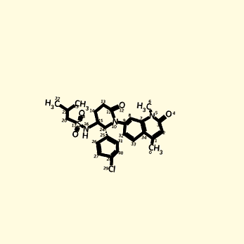 Cc1cc(=O)n(C)c2cc(N3C(=O)CCC(NS(=O)(=O)CC(C)C)[C@H]3c3ccc(Cl)cc3)ccc12